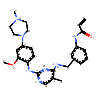 C=CC(=O)Nc1cccc(CNc2nc(Nc3ccc(N4CCN(C)CC4)cc3OC)ncc2C)c1